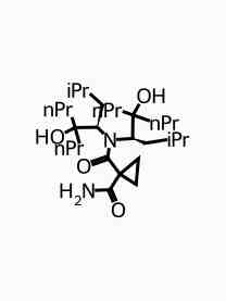 CCCC(O)(CCC)[C@@H](CC(C)C)N(C(=O)C1(C(N)=O)CC1)[C@H](CC(C)C)C(O)(CCC)CCC